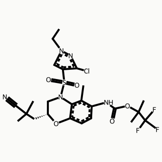 CCn1cc(S(=O)(=O)N2C[C@@H](CC(C)(C)C#N)Oc3ccc(NC(=O)OC(C)(C)C(F)(F)F)c(C)c32)c(Cl)n1